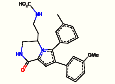 COc1cccc(-c2cc3n(c2-c2cccc(C)c2)C(CCNC(=O)O)CNC3=O)c1